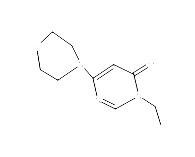 CCn1[c]nc(N2CCOCC2)cc1=O